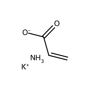 C=CC(=O)[O-].N.[K+]